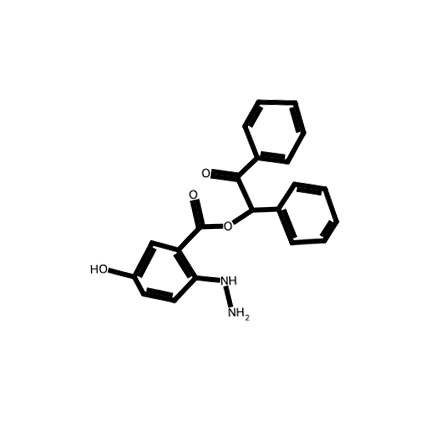 NNc1ccc(O)cc1C(=O)OC(C(=O)c1ccccc1)c1ccccc1